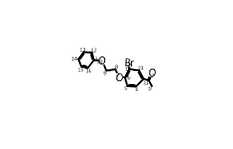 CC(=O)c1ccc(OCCOc2ccccc2)c(Br)c1